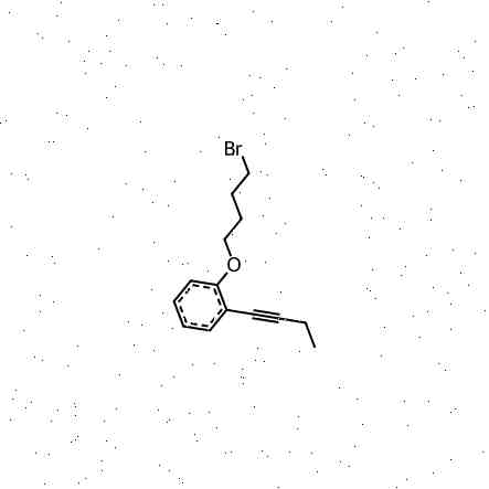 CCC#Cc1ccccc1OCCCCBr